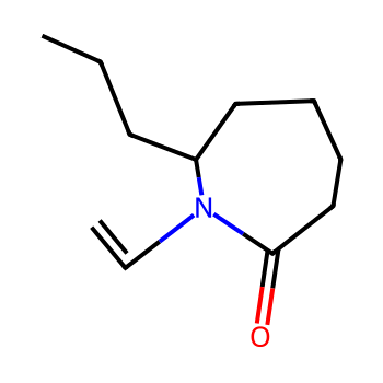 C=CN1C(=O)CCCCC1CCC